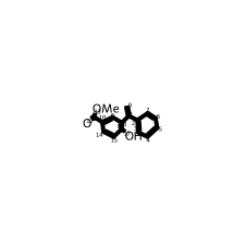 C=C(c1ccccc1)c1cc(C(=O)OC)ccc1O